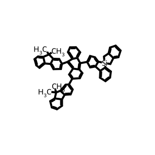 CC1(C)c2ccccc2-c2ccc(-c3ccc4c(-c5ccc6c(c5)-c5ccccc5[Si]65Cc6ccccc6C5)c5ccccc5c(-c5ccc6c(c5)C(C)(C)c5ccccc5-6)c4c3)cc21